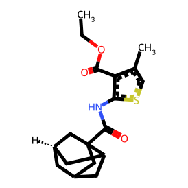 CCOC(=O)c1c(C)csc1NC(=O)C12CC3CC1C[C@@H](C3)C2